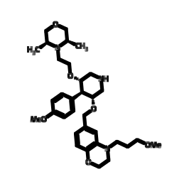 COCCCN1CCOc2ccc(CO[C@H]3CNC[C@@H](OCCN4[C@H](C)COC[C@@H]4C)[C@@H]3c3ccc(OC)cc3)cc21